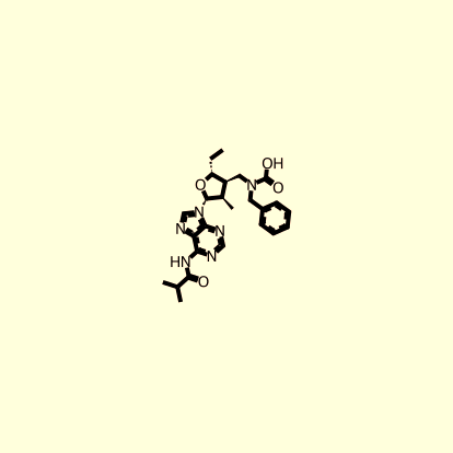 CC[C@H]1O[C@@H](n2cnc3c(NC(=O)C(C)C)ncnc32)[C@H](C)[C@@H]1CN(Cc1ccccc1)C(=O)O